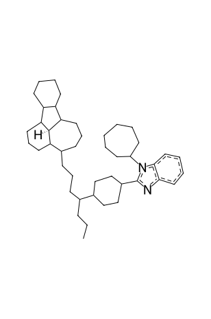 CCCC(CCCC1CCCC2C3CCCCC3C3CCCC1[C@H]23)C1CCC(c2nc3ccccc3n2C2CCCCCC2)CC1